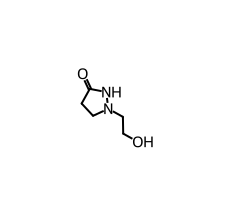 O=C1CCN(CCO)N1